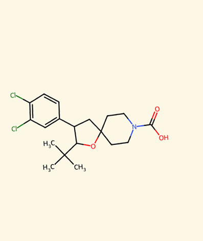 CC(C)(C)C1OC2(CCN(C(=O)O)CC2)CC1c1ccc(Cl)c(Cl)c1